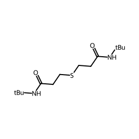 CC(C)(C)NC(=O)CCSCCC(=O)NC(C)(C)C